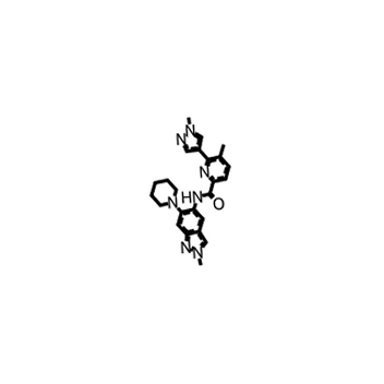 Cc1ccc(C(=O)Nc2cc3cn(C)nc3cc2N2CCCCC2)nc1-c1cnn(C)c1